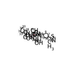 Cc1ncsc1-c1ccc(CNC(=O)C2(C)C[C@@H](O)CN2C(=O)[C@H](C(C)C)N2Cc3ccccc3C2=O)cc1